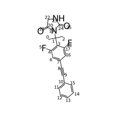 CC(C)(c1c(F)cc(C#Cc2ccccc2)cc1F)N1C(=O)CNC1=O